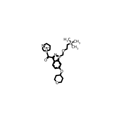 C[Si](C)(C)CCOCn1nc(C(=O)N2CCN3CCC2CC3)c2ccc(OC3CCOCC3)cc21